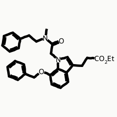 CCOC(=O)CCc1cn(CC(=O)N(C)CCc2ccccc2)c2c(OCc3ccccc3)cccc12